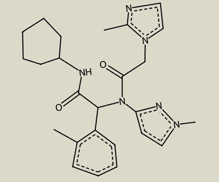 Cc1ccccc1C(C(=O)NC1CCCCC1)N(C(=O)Cn1ccnc1C)c1ccn(C)n1